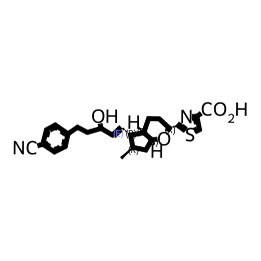 C[C@@H]1C[C@@H]2O[C@@H](c3nc(C(=O)O)cs3)CC[C@@H]2[C@H]1/C=C/C(O)CCc1ccc(C#N)cc1